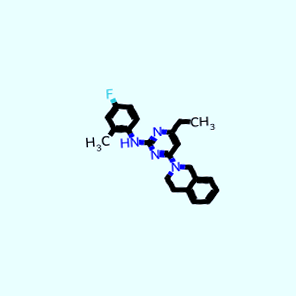 CCc1cc(N2CCc3ccccc3C2)nc(Nc2ccc(F)cc2C)n1